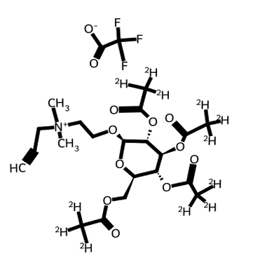 O=C([O-])C(F)(F)F.[2H]C([2H])([2H])C(=O)OC[C@H]1O[C@@H](OCC[N+](C)(C)CC#C)[C@H](OC(=O)C([2H])([2H])[2H])[C@@H](OC(=O)C([2H])([2H])[2H])[C@@H]1OC(=O)C([2H])([2H])[2H]